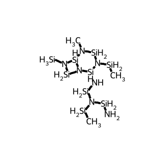 C[SiH2]N([SiH2]N)[SiH2]N[SiH]1N([SiH2]C)[SiH2]N(C)[SiH]2N([SiH3])[SiH2]N12